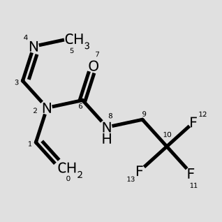 C=CN(/C=N\C)C(=O)NCC(F)(F)F